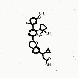 COc1ccc(F)c(-c2ccc(C3CCc4ccc(C(CC(=O)O)C5CC5)cc4O3)cc2[C@@H]2CCCC2(C)C)c1